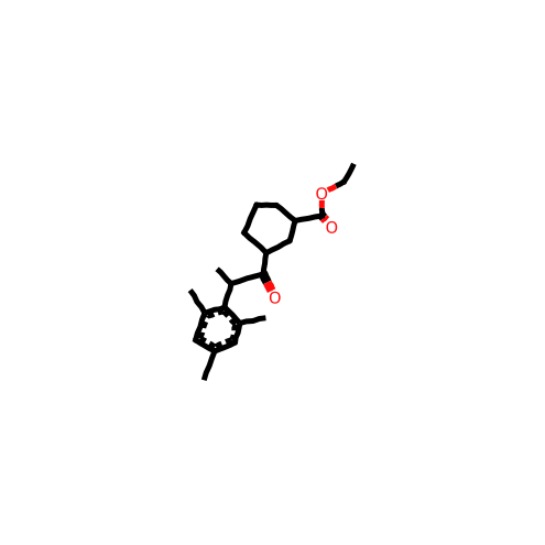 CCOC(=O)C1CCCC(C(=O)C(C)c2c(C)cc(C)cc2C)C1